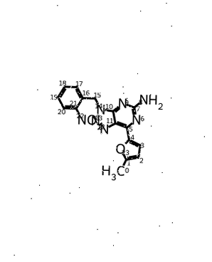 Cc1ccc(-c2nc(N)nc3c2nnn3Cc2ccccc2[N+](=O)[O-])o1